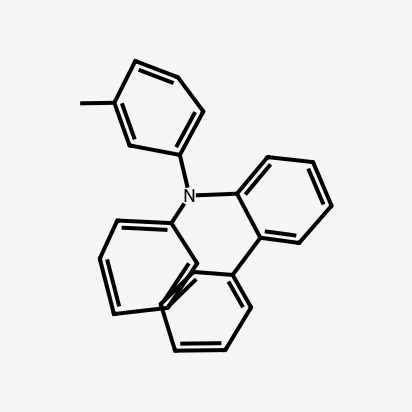 Cc1cccc(N(c2ccccc2)c2ccccc2-c2ccccc2)c1